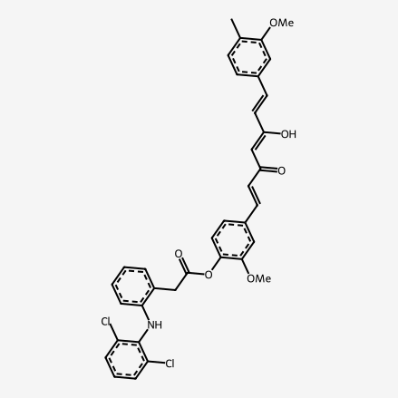 COc1cc(/C=C/C(O)=C/C(=O)/C=C/c2ccc(OC(=O)Cc3ccccc3Nc3c(Cl)cccc3Cl)c(OC)c2)ccc1C